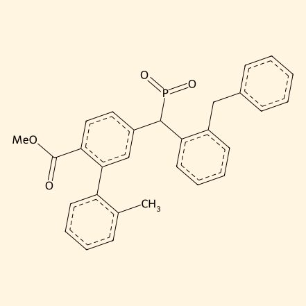 COC(=O)c1ccc(C(c2ccccc2Cc2ccccc2)P(=O)=O)cc1-c1ccccc1C